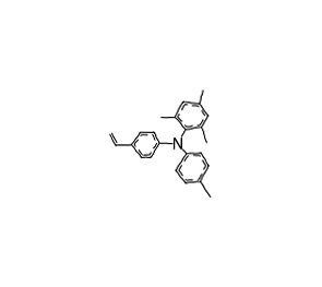 C=Cc1ccc(N(c2ccc(C)cc2)c2c(C)cc(C)cc2C)cc1